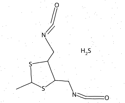 CC1SC(CN=C=O)C(CN=C=O)S1.S